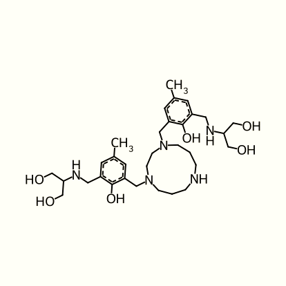 Cc1cc(CNC(CO)CO)c(O)c(CN2CCCNCCCN(Cc3cc(C)cc(CNC(CO)CO)c3O)CC2)c1